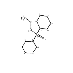 O=P(OCC(F)(F)F)(C1CCCCC1)C1CCCCC1